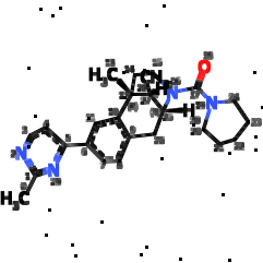 Cc1nccc(-c2ccc3c(c2)[C@]2(C)CCN(C(=O)N4CCCCC4)[C@H](C3)[C@H]2C)n1